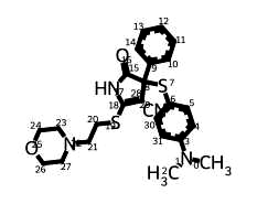 CN(C)c1ccc(SC2(c3ccccc3)C(=O)NC(SCCN3CCOCC3)=C2C#N)cc1